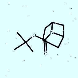 CC(C)(C)OC(=O)N1C2CCCC1C2